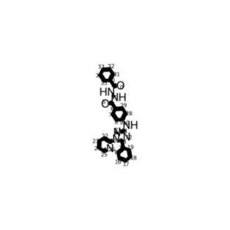 O=C(NNC(=O)c1ccc(Nc2nc(-c3ccccc3)n(-c3ccccn3)n2)cc1)c1ccccc1